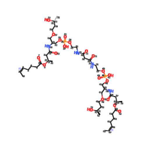 C/C=C\CCCC(=O)O[C@H](C)CC(=O)NC(COCC[C@@H](C)O)COP(=O)(O)OCCNC(=O)CC(=O)NCCOP(=O)(O)OCC(COCC[C@@H](C)O)NC(=O)C[C@@H](C)OC(=O)CCC/C=C\C